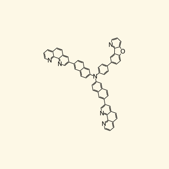 c1cnc2c(c1)ccc1cc(-c3ccc4cc(N(c5ccc(-c6ccc7oc8cccnc8c7c6)cc5)c5ccc6cc(-c7cnc8c(ccc9cccnc98)c7)ccc6c5)ccc4c3)cnc12